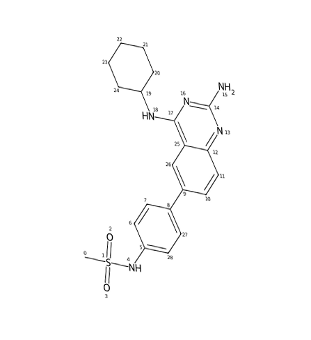 CS(=O)(=O)Nc1ccc(-c2ccc3nc(N)nc(NC4CCCCC4)c3c2)cc1